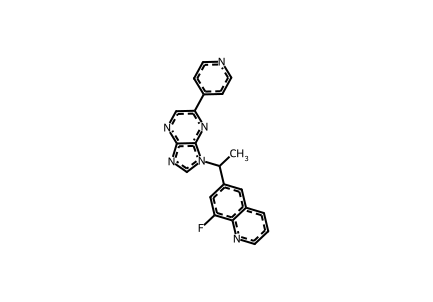 CC(c1cc(F)c2ncccc2c1)n1cnc2ncc(-c3ccncc3)nc21